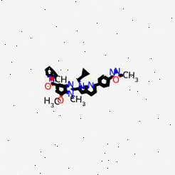 COc1cc(C(=O)N2CC3CCC2[C@@H]3C)cc2nc(-c3cc4ccc(-c5ccc(-c6nnc(C)o6)cc5)nc4n3CC3CC3)n(C)c12